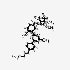 CCCCc1ccc(-c2nc(O)nc(-c3cc(CNC(=O)C(C)(OC)C(F)(F)F)ccc3Cl)n2)cc1